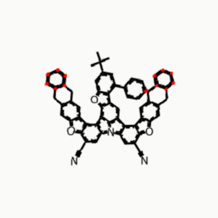 CC(C)(C)c1cc(-c2ccccc2)c2c(c1)oc1c2cc2c3c4c(oc5cc6c(cc54)C4c5ccccc5C6c5ccccc54)c(C#N)cc3n3c4cc(C#N)c5oc6cc7c(cc6c5c4c1c23)C1c2ccccc2C7c2ccccc21